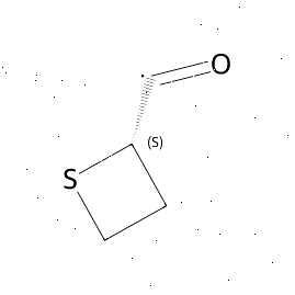 O=[C][C@@H]1CCS1